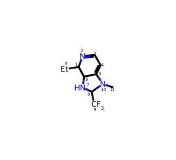 CCC1N=CC=C2C1NC(C(F)(F)F)N2C